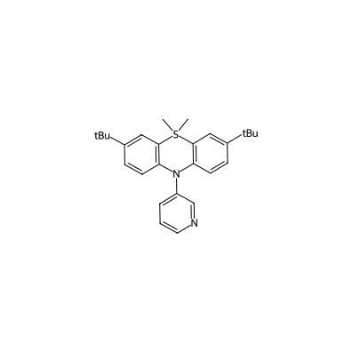 CC(C)(C)c1ccc2c(c1)S(C)(C)c1cc(C(C)(C)C)ccc1N2c1cccnc1